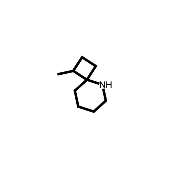 CC1CCC12CCCCN2